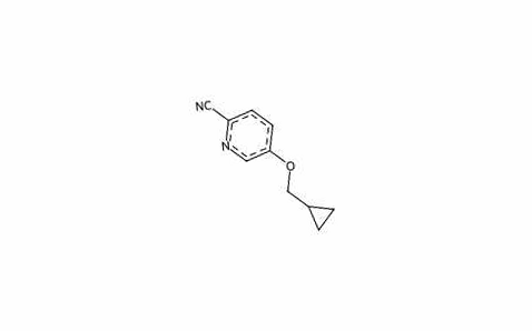 N#Cc1ccc(OCC2CC2)cn1